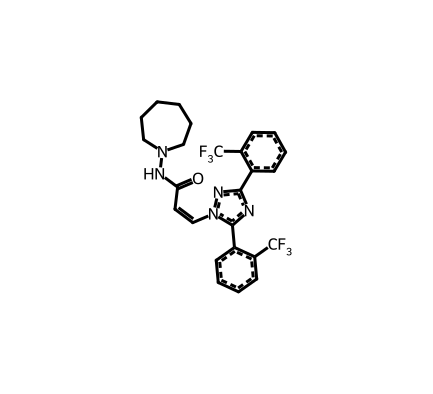 O=C(/C=C\n1nc(-c2ccccc2C(F)(F)F)nc1-c1ccccc1C(F)(F)F)NN1CCCCCC1